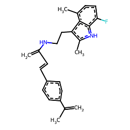 C=C(/C=C/c1ccc(C(=C)C)cc1)NCCc1c(C)[nH]c2c(F)ccc(C)c12